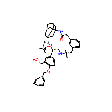 CC(C)(Cc1cccc(CC(=O)NC23CC4CC(CC(C4)C2)C3)c1)NC[C@@H](O[Si](C)(C)C(C)(C)C)c1ccc(OCc2ccccc2)c(CO)c1